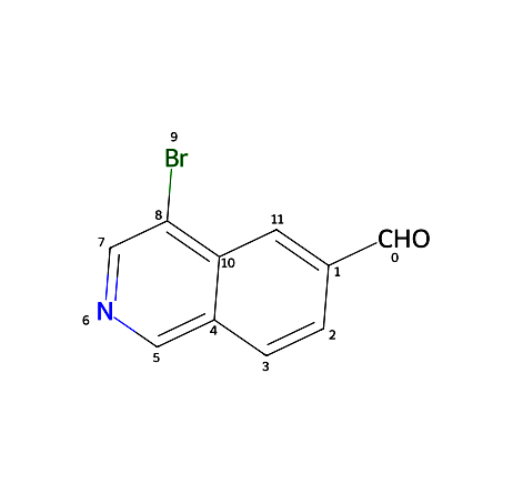 O=Cc1ccc2cncc(Br)c2c1